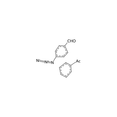 CC(=O)c1ccccc1.[N-]=[N+]=Nc1ccc(C=O)cc1